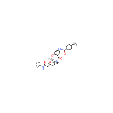 CN1C(=O)c2cc(NC(=O)c3ccc(C(F)(F)F)cc3)ccc2OC[C@@H]2O[C@H](CC(=O)NC3CCCC3)CC[C@@H]21